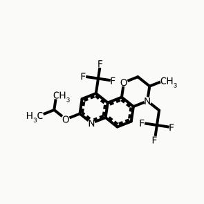 CC(C)Oc1cc(C(F)(F)F)c2c3c(ccc2n1)N(CC(F)(F)F)C(C)CO3